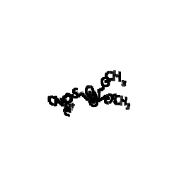 [C-]#[N+]c1ccc(SCCCS(=O)(=O)N(CCOCC)CCOCC)cc1[N+]#[C-]